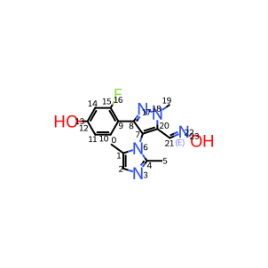 Cc1cnc(C)n1-c1c(-c2ccc(O)cc2F)nn(C)c1/C=N/O